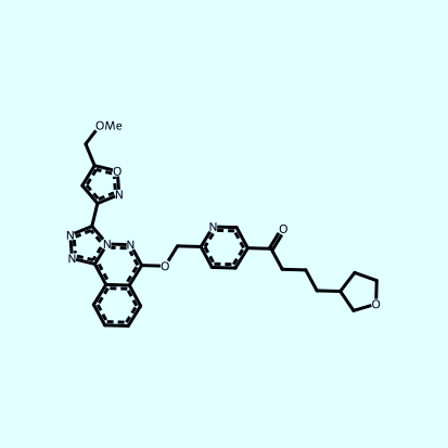 COCc1cc(-c2nnc3c4ccccc4c(OCc4ccc(C(=O)CCCC5CCOC5)cn4)nn23)no1